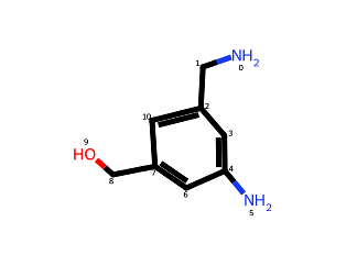 NCc1cc(N)cc(CO)c1